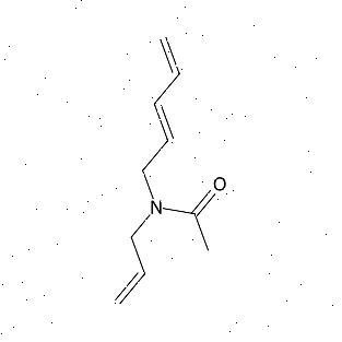 C=CC=CCN(CC=C)C(C)=O